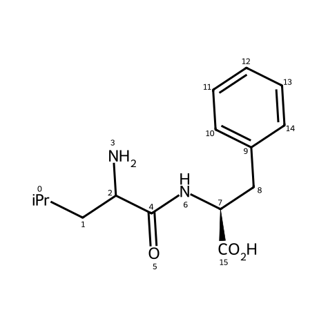 CC(C)CC(N)C(=O)N[C@@H](Cc1ccccc1)C(=O)O